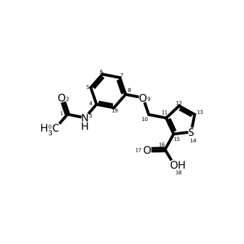 CC(=O)Nc1cccc(OCc2ccsc2C(=O)O)c1